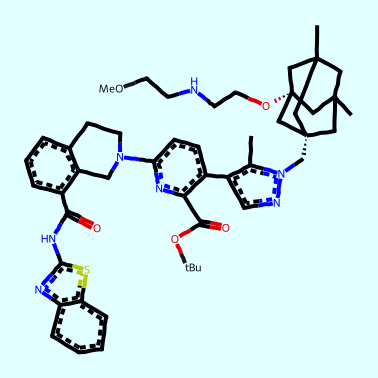 COCCNCCO[C@]12CC3(C)CC(C)(C[C@@](Cn4ncc(-c5ccc(N6CCc7cccc(C(=O)Nc8nc9ccccc9s8)c7C6)nc5C(=O)OC(C)(C)C)c4C)(C3)C1)C2